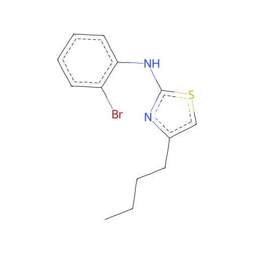 CCCCc1csc(Nc2ccccc2Br)n1